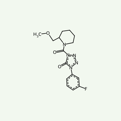 COCC1CCCCN1C(=O)n1nnn(-c2cccc(F)c2)c1=O